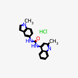 Cc1cc(NC(=O)Nc2ccc3c(ccn3C)c2)c2ccccc2n1.Cl